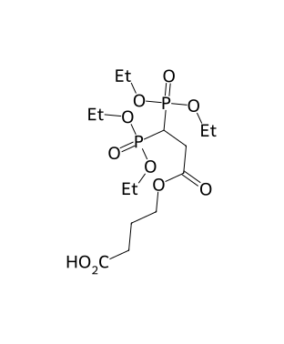 CCOP(=O)(OCC)C(CC(=O)OCCCC(=O)O)P(=O)(OCC)OCC